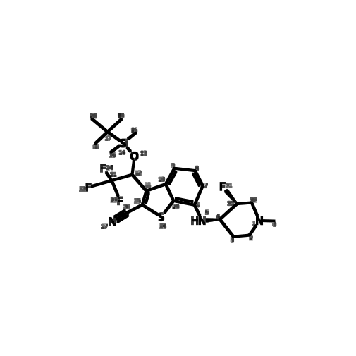 CN1CC[C@@H](Nc2cccc3c(C(O[Si](C)(C)C(C)(C)C)C(F)(F)F)c(C#N)sc23)[C@@H](F)C1